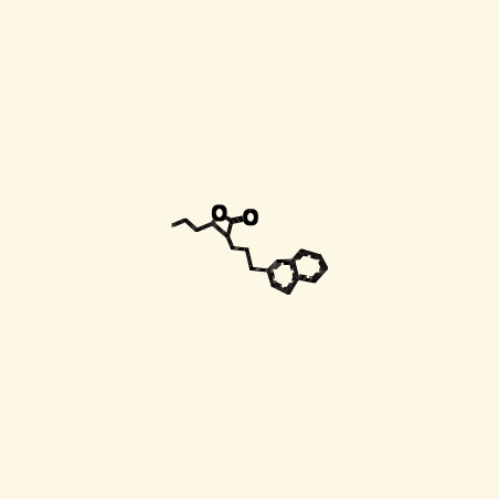 CCCC1OC(=O)C1CCCc1ccc2ccccc2c1